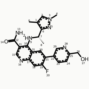 Cc1cn(C)nc1[C@H](C)Nc1c(C(N)=O)cnc2cc(F)c(-c3ccc(CO)nc3)cc12